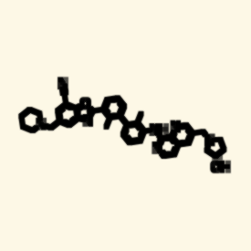 Cc1c(Nc2nccc3cc(CN4CC[C@H](O)C4)cnc23)cccc1-c1cccc(-c2nc3cc(CN4CCCCC4)cc(C#N)c3o2)c1C